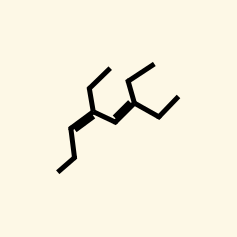 CC/C=C(\C=C(CC)CC)CC